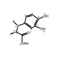 COC(=O)[C@@H](C)N(C)c1ccc(O)c(O)c1